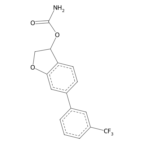 NC(=O)OC1COc2cc(-c3cccc(C(F)(F)F)c3)ccc21